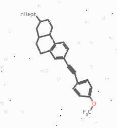 CCCCCCCC1CCC2c3ccc(C#Cc4ccc(OC(F)(F)F)cc4)cc3CCC2C1